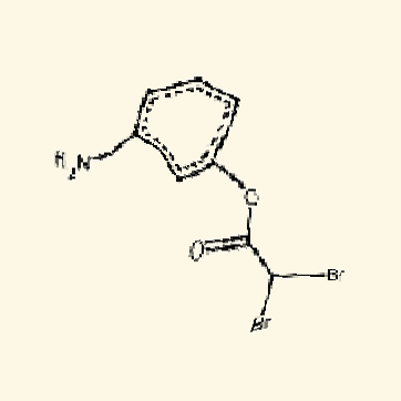 Nc1cccc(OC(=O)C(Br)Br)c1